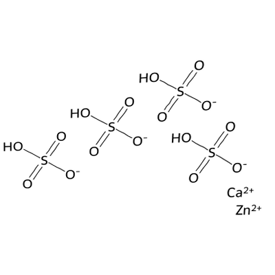 O=S(=O)([O-])O.O=S(=O)([O-])O.O=S(=O)([O-])O.O=S(=O)([O-])O.[Ca+2].[Zn+2]